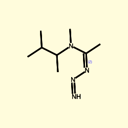 C/C(=N/N=N)N(C)C(C)C(C)C